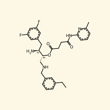 CCc1cccc(CNC[C@@H](OC(=O)CCC(=O)Nc2cccc(C)n2)[C@@H](N)Cc2cc(F)cc(F)c2)c1